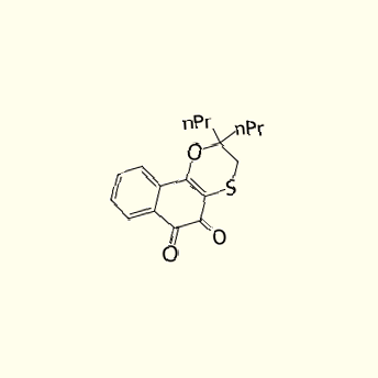 CCCC1(CCC)CSC2=C(O1)c1ccccc1C(=O)C2=O